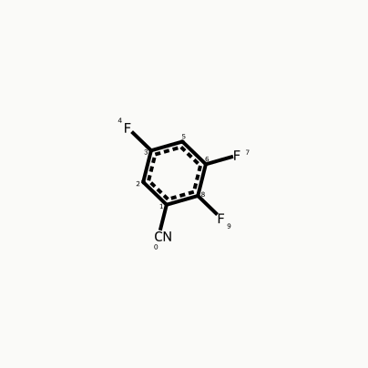 N#Cc1cc(F)cc(F)c1F